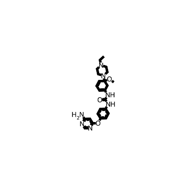 CCN1CCN(C2(OC)C=CC=C(NC(=O)Nc3ccc(Oc4cc(N)ncn4)cc3)C2)CC1